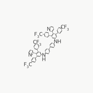 FC(F)(F)c1ccc(-c2cc(Nc3ccc(-c4ccc(Nc5cc(-c6ccc(C(F)(F)F)cc6)c(-c6cccnc6)c(-c6ccc(C(F)(F)F)cc6)c5)cc4)cc3)cc(-c3ccc(C(F)(F)F)cc3)c2-c2cccnc2)cc1